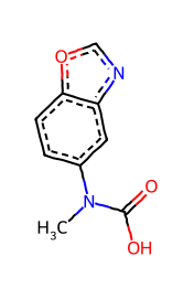 CN(C(=O)O)c1ccc2ocnc2c1